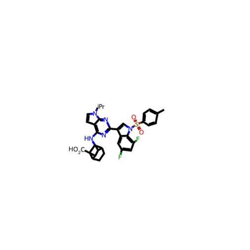 Cc1ccc(S(=O)(=O)n2cc(-c3nc(NC4C5CCC(CC5)C4C(=O)O)c4ccn(C(C)C)c4n3)c3cc(F)cc(F)c32)cc1